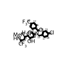 C/C=C(\C=C(\O)C(C)C(CC(=N)C(F)(F)F)NC)N(Cc1ccc(Cl)cc1)C(=O)c1ccc(C(F)(F)F)cc1